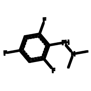 CN(C)Pc1c(F)cc(F)cc1F